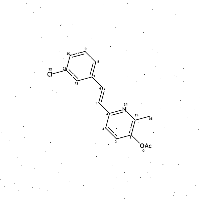 CC(=O)Oc1ccc(C=Cc2cccc(Cl)c2)nc1C